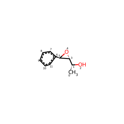 C[C@@H](O)[C@H]1O[C@@H]1c1ccccc1